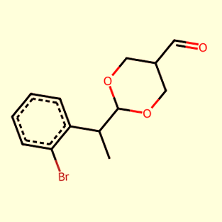 CC(c1ccccc1Br)C1OCC(C=O)CO1